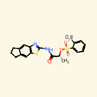 C[C@@H](OS(=O)(=O)c1ccccc1[N+](=O)[O-])C(=O)Nc1nc2cc3c(cc2s1)CCC3